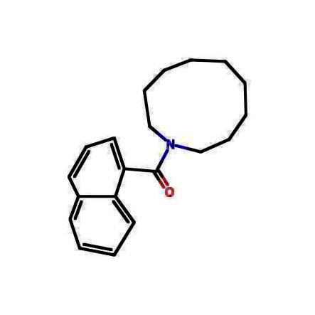 O=C(c1cccc2ccccc12)N1CCCCCCCCC1